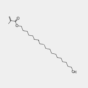 C=C(C)C(=O)OCCCCCCCCCCCCCCCCCCCO